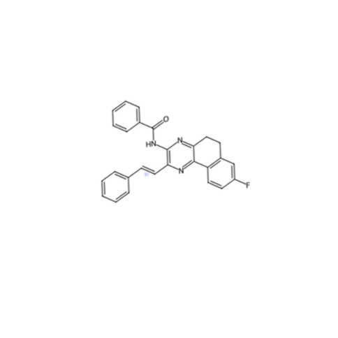 O=C(Nc1nc2c(nc1/C=C/c1ccccc1)-c1ccc(F)cc1CC2)c1ccccc1